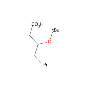 CC(C)CC(CC(=O)O)OC(C)(C)C